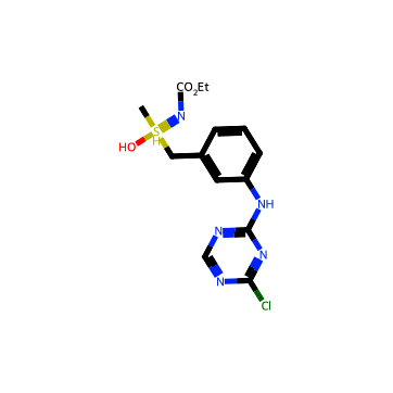 CCOC(=O)N=[SH](C)(O)Cc1cccc(Nc2ncnc(Cl)n2)c1